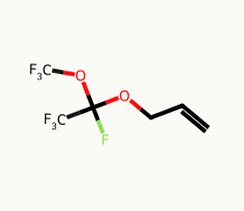 C=CCOC(F)(OC(F)(F)F)C(F)(F)F